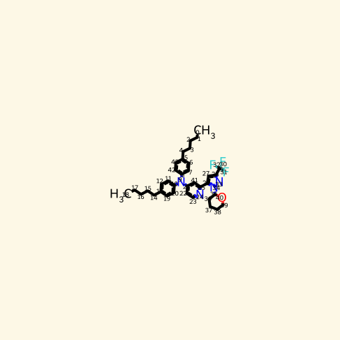 CCCCCc1ccc(N(c2ccc(CCCCC)cc2)c2ccnc(-c3cc(C(F)(F)F)nn3C3CCCCO3)c2)cc1